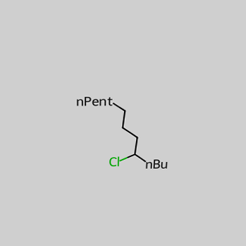 CCCCCCCCC(Cl)CCCC